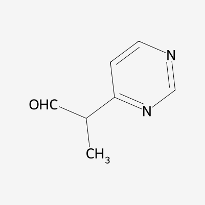 CC(C=O)c1ccncn1